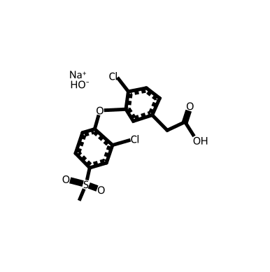 CS(=O)(=O)c1ccc(Oc2cc(CC(=O)O)ccc2Cl)c(Cl)c1.[Na+].[OH-]